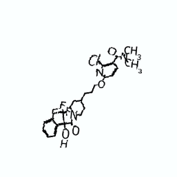 CN(C)C(=O)c1ccc(OCCCC2CCN(C(=O)C(O)(c3ccccc3)C(F)(F)F)CC2)nc1Cl